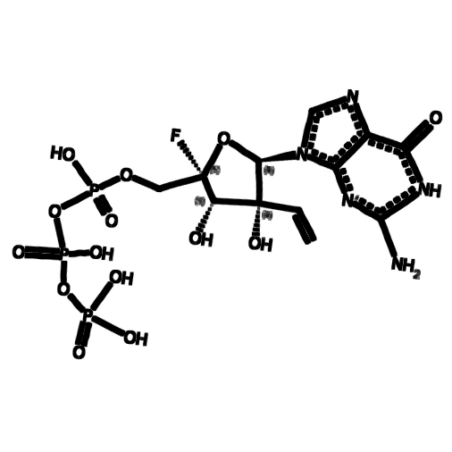 C=C[C@]1(O)[C@H](n2cnc3c(=O)[nH]c(N)nc32)O[C@](F)(COP(=O)(O)OP(=O)(O)OP(=O)(O)O)[C@H]1O